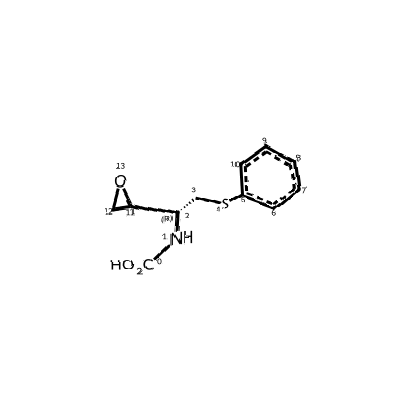 O=C(O)N[C@@H](CSc1ccccc1)C1CO1